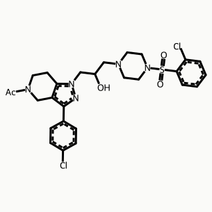 CC(=O)N1CCc2c(c(-c3ccc(Cl)cc3)nn2CC(O)CN2CCN(S(=O)(=O)c3ccccc3Cl)CC2)C1